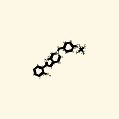 Fc1ccccc1-c1cc2ccn(Cc3ccc(OC(F)(F)F)cc3)cc-2n1